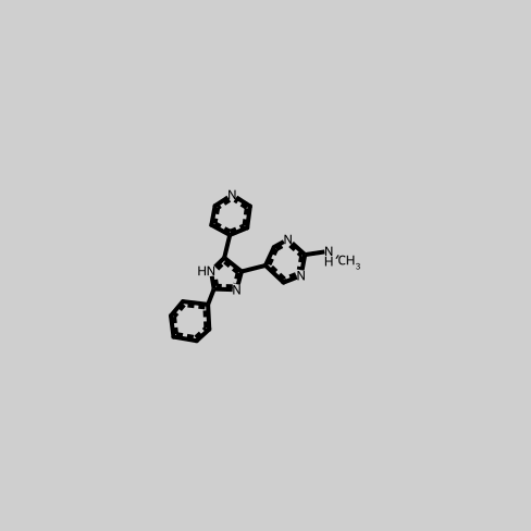 CNc1ncc(-c2nc(-c3ccccc3)[nH]c2-c2ccncc2)cn1